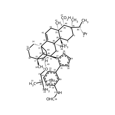 CC(C)[C@@H](C)[C@@]1(C)CC[C@]2(C)[C@H]3CC[C@@H]4[C@@]5(COC[C@@]4(C)[C@@H](OC[C@](C)(N)C(C)(C)C)[C@H](n4ncnc4-c4ccnc(NC=O)c4)C5)C3=CC[C@@]2(C)[C@@H]1C(=O)O